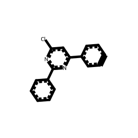 Clc1cc(-c2cc#ccc2)nc(-c2ccccc2)n1